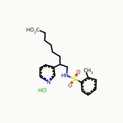 Cc1ccccc1S(=O)(=O)NCC(CCCCCC(=O)O)c1cccnc1.Cl